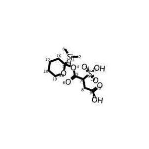 C[SiH](C)C1(OC(=O)C(CC(=O)O)S(=O)(=O)O)CCCCO1